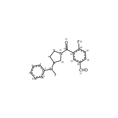 CN(c1cccnn1)C1CCN(C(=O)c2cc(C=O)ccc2F)C1